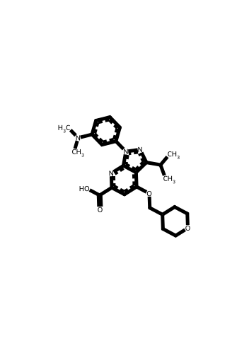 CC(C)c1nn(-c2cccc(N(C)C)c2)c2nc(C(=O)O)cc(OCC3CCOCC3)c12